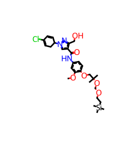 COc1cc(NC(=O)c2cn(C3C=CC(Cl)=CC3)nc2CO)ccc1OCC(C)(C)OCOCC[Si](C)(C)C